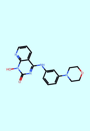 O=c1nc(Nc2cccc(N3CCOCC3)c2)c2cccnc2n1O